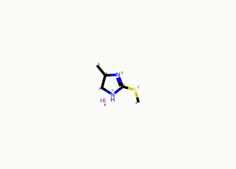 CSC1=NC(C)CN1.I